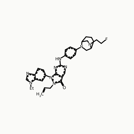 C=CCn1c(=O)c2cnc(Nc3ccc(N4CC5CCCC4CN5CCF)cc3)nc2n1-c1ccc2ncn(CC)c2c1